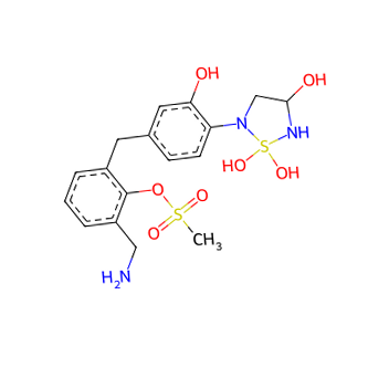 CS(=O)(=O)Oc1c(CN)cccc1Cc1ccc(N2CC(O)NS2(O)O)c(O)c1